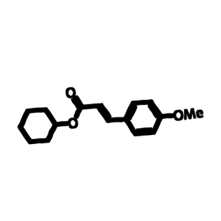 COc1ccc(C=CC(=O)OC2CCCCC2)cc1